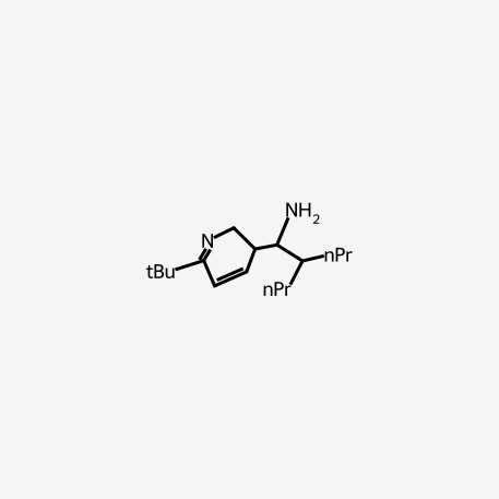 CCCC(CCC)C(N)C1C=CC(C(C)(C)C)=NC1